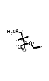 C=COC1(C(C)(C)C[SiH3])OO1